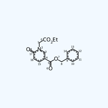 CCOC(=O)Cn1cc(C(=O)OCc2ccccc2)ccc1=O